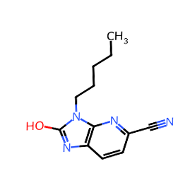 CCCCCn1c(O)nc2ccc(C#N)nc21